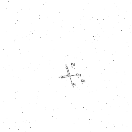 O=S(=O)(O)S.[KH].[Pd]